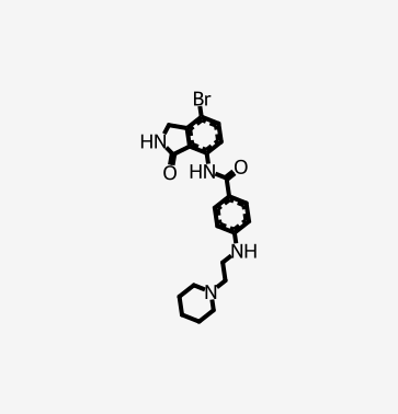 O=C(Nc1ccc(Br)c2c1C(=O)NC2)c1ccc(NCCN2CCCCC2)cc1